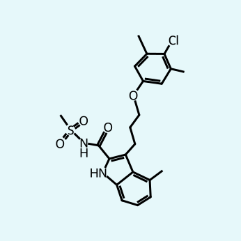 Cc1cc(OCCCc2c(C(=O)NS(C)(=O)=O)[nH]c3cccc(C)c23)cc(C)c1Cl